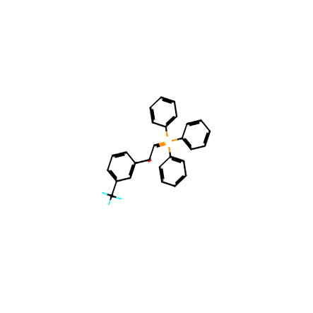 O=C(C=P(c1ccccc1)(c1ccccc1)c1ccccc1)c1cccc(C(F)(F)F)c1